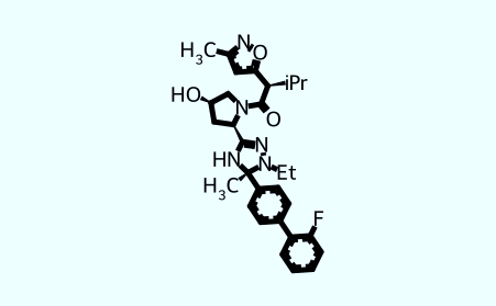 CCN1N=C([C@H]2C[C@@H](O)CN2C(=O)[C@@H](c2cc(C)no2)C(C)C)N[C@@]1(C)c1ccc(-c2ccccc2F)cc1